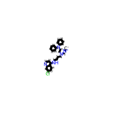 [C-]#[N+]CN(CCCCNc1ccnc2cc(Cl)ccc12)CCN(c1ccccc1)c1ccccc1